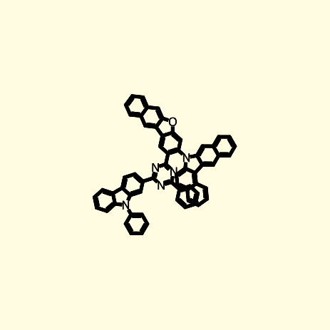 c1ccc(-c2nc(-c3ccc4c5ccccc5n(-c5ccccc5)c4c3)nc(-c3cc4c(cc3-n3c5cc6ccccc6cc5c5c6ccccc6ccc53)oc3cc5ccccc5cc34)n2)cc1